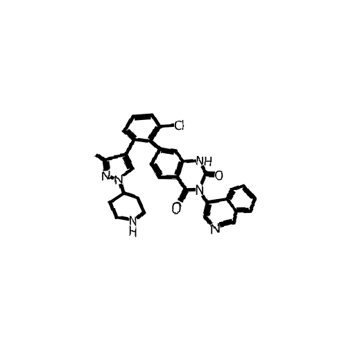 Cc1nn(C2CCNCC2)cc1-c1cccc(Cl)c1-c1ccc2c(=O)n(-c3cncc4ccccc34)c(=O)[nH]c2c1